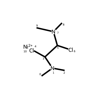 CN(C)C(Cl)C(Cl)N(C)C.[Ni+2]